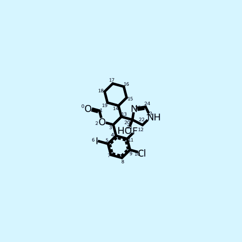 O=COC(c1c(I)ccc(Cl)c1F)C(C1CCCCC1)C1(O)CNC=N1